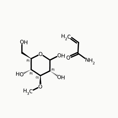 C=CC(N)=O.CO[C@H]1[C@H](O)[C@@H](CO)OC(O)[C@@H]1O